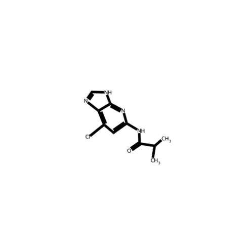 CC(C)C(=O)Nc1cc(Cl)c2nc[nH]c2n1